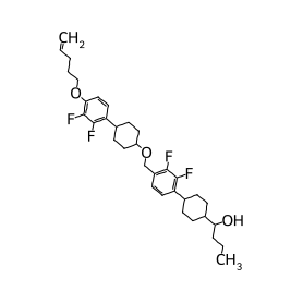 C=CCCCOc1ccc(C2CCC(OCc3ccc(C4CCC(C(O)CCC)CC4)c(F)c3F)CC2)c(F)c1F